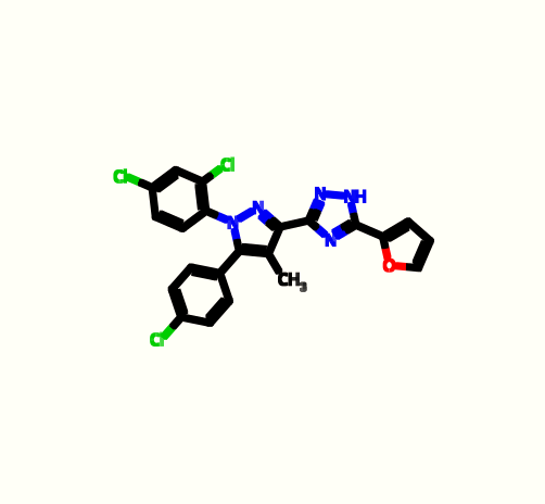 Cc1c(-c2n[nH]c(-c3ccco3)n2)nn(-c2ccc(Cl)cc2Cl)c1-c1ccc(Cl)cc1